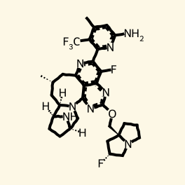 Cc1cc(N)nc(-c2nc3c4c(nc(OC[C@@]56CCCN5C[C@H](F)C6)nc4c2F)N2C[C@H]4CC[C@H](N4)[C@H]2C[C@H](C)C3)c1C(F)(F)F